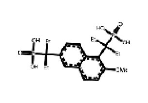 CCC(CC)(c1ccc2c(C(CC)(CC)P(=O)(O)O)c(OC)ccc2c1)P(=O)(O)O